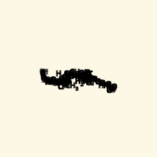 Cc1csc2c(OC(=O)N(C)CCN(C)C(=O)OCc3ccc(N(C(=O)[C@@H](NC(=O)CCOCCOCCOCCOCCNC(=O)CCN4C(=O)C=CC4=O)C(C)C)[C@@H](CCCNC(N)=O)C(N)=O)cc3)cc3c(c12)[C@H](CCl)CN3C(=O)c1cc2cc(NC(=O)c3cc4cc(OCCN5CCCC5)ccc4[nH]3)ccc2[nH]1